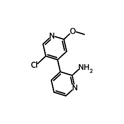 COc1cc(-c2cccnc2N)c(Cl)cn1